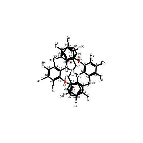 Fc1c(F)c(F)c([N](c2c(F)c(F)c(F)c(F)c2F)[Zr]([CH2]c2ccccc2)([CH2]c2ccccc2)[N](c2c(F)c(F)c(F)c(F)c2F)c2c(F)c(F)c(F)c(F)c2F)c(F)c1F